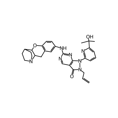 C=CCn1c(=O)c2cnc(Nc3ccc4c(c3)CC3C(O4)C4CCN3CC4)nc2n1-c1cccc(C(C)(C)O)n1